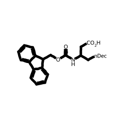 CCCCCCCCCCCC(CC(=O)O)NC(=O)OCC1c2ccccc2-c2ccccc21